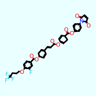 O=C(/C=C/C1=CCC(OC(=O)c2ccc(OCCCC(F)(F)F)c(F)c2)C=C1)OC1=CCC(C(=O)Oc2ccc(N3C(=O)C=CC3=O)cc2)C=C1